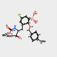 COC(=O)C(Cc1cc(F)cc(B(O)O)c1OCc1ccc(OC)cc1)NC(=O)OC(C)(C)C